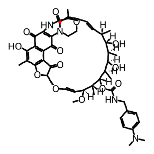 CO[C@H]1/C=C/O[C@@]2(C)Oc3c(C)c(O)c4c(c3C2=O)C(=O)C(N2CCOCC2)=C(NC(=O)/C(C)=C\C=C\[C@H](C)[C@H](O)[C@@H](C)[C@@H](O)[C@@H](C)[C@H](OC(=O)NCc2ccc(N(C)C)cc2)[C@@H]1C)C4=O